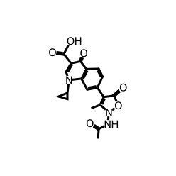 CC(=O)Nn1oc(=O)c(-c2ccc3c(=O)c(C(=O)O)cn(C4CC4)c3c2)c1C